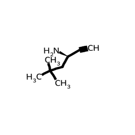 C#C[C@H](N)CC(C)(C)C